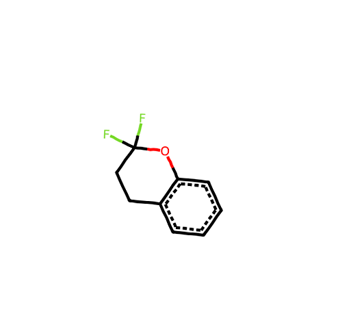 FC1(F)CCc2ccccc2O1